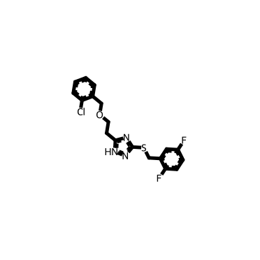 Fc1ccc(F)c(CSc2n[nH]c(CCOCc3ccccc3Cl)n2)c1